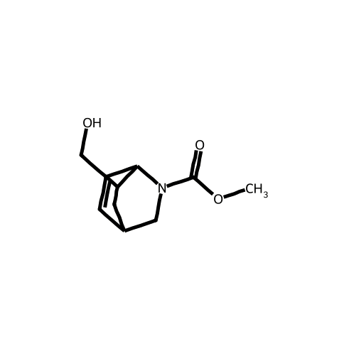 COC(=O)N1CC2C=CC1C(CO)C2